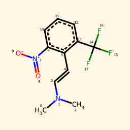 CN(C)C=Cc1c([N+](=O)[O-])cccc1C(F)(F)F